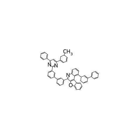 CC1C=CC=C(c2cc(-c3ccccc3)nc(-c3cccc(-c4cccc(-c5nc6cccc(C7C=C(c8ccccc8)C=CC7)c6c6c5oc5ccccc56)c4)c3)n2)C1